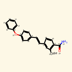 COc1cc(C=Cc2ccc(Oc3ccccc3)cc2)ccc1C(N)=O